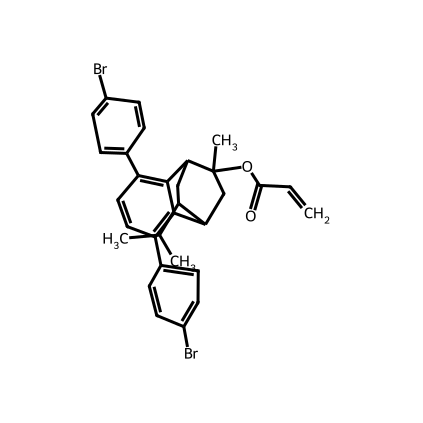 C=CC(=O)OC1(C)CC2c3c(-c4ccc(Br)cc4)ccc(-c4ccc(Br)cc4)c3C1CC2C(C)C